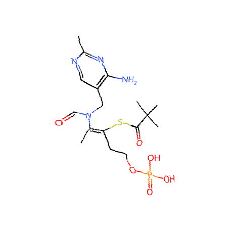 CC(=C(CCOP(=O)(O)O)SC(=O)C(C)(C)C)N(C=O)Cc1cnc(C)nc1N